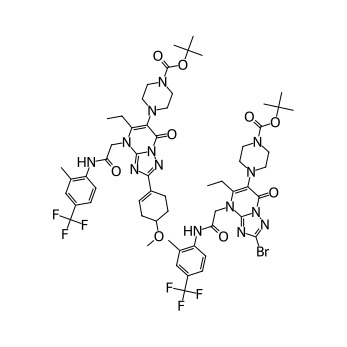 CCc1c(N2CCN(C(=O)OC(C)(C)C)CC2)c(=O)n2nc(Br)nc2n1CC(=O)Nc1ccc(C(F)(F)F)cc1C.CCc1c(N2CCN(C(=O)OC(C)(C)C)CC2)c(=O)n2nc(C3=CCC(OC)CC3)nc2n1CC(=O)Nc1ccc(C(F)(F)F)cc1C